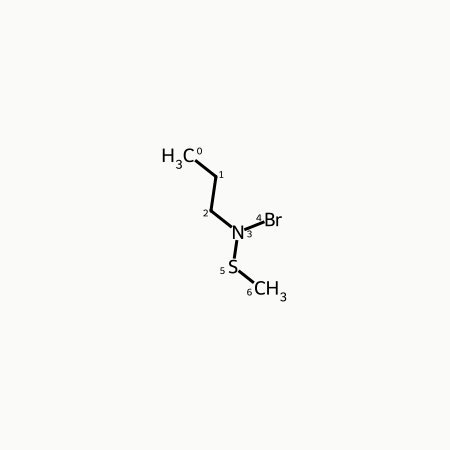 CCCN(Br)SC